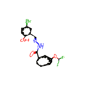 O=C(NN=Cc1cc(Br)ccc1O)c1cccc(OC(F)F)c1